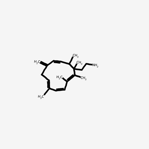 C=C1/C=C\C(C)C(C)(CCN)/C(C)=C(C)/C=C\C(C)=C\C1